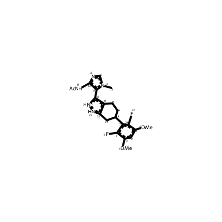 COc1cc(OC)c(F)c(C2CCc3c(-c4c(NC(C)=O)ncn4C)n[nH]c3C2)c1F